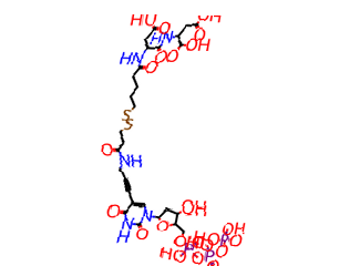 O=C(O)CC(NC(=O)C(CC(=O)O)NC(=O)CCCCSSCCC(=O)NCC#Cc1cn(C2CC(O)C(COP(=O)(O)OP(=O)(O)OP(=O)(O)O)O2)c(=O)[nH]c1=O)C(=O)O